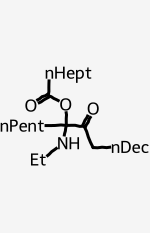 CCCCCCCCCCCC(=O)C(CCCCC)(NCC)OC(=O)CCCCCCC